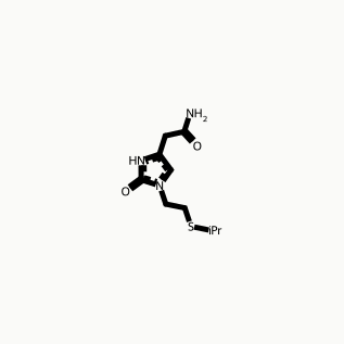 CC(C)SCCn1cc(CC(N)=O)[nH]c1=O